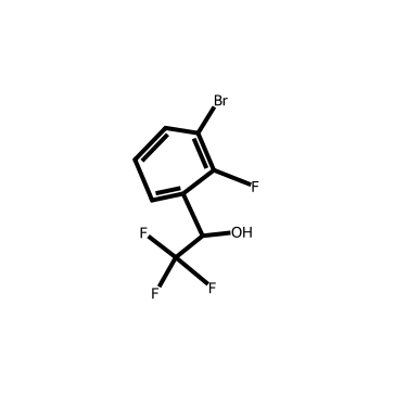 OC(c1cccc(Br)c1F)C(F)(F)F